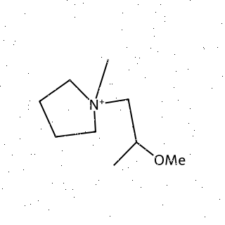 COC(C)C[N+]1(C)CCCC1